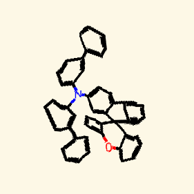 c1ccc(-c2cccc(N(c3cccc(-c4ccccc4)c3)c3ccc4c(c3)C3(c5ccccc5Oc5ccccc53)c3ccccc3-4)c2)cc1